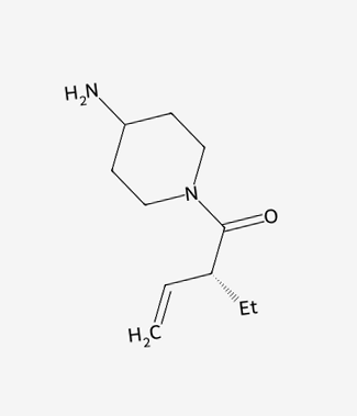 C=C[C@@H](CC)C(=O)N1CCC(N)CC1